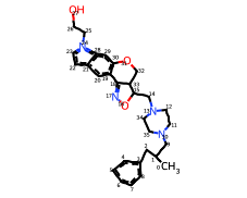 CC(Cc1ccccc1)CN1CCN(CC2ON=C3c4cc5ccn(CCO)c5cc4OCC32)CC1